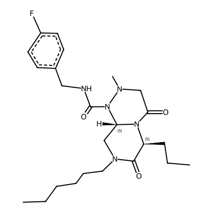 CCCCCCN1C[C@H]2N(C(=O)CN(C)N2C(=O)NCc2ccc(F)cc2)[C@@H](CCC)C1=O